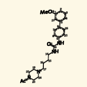 COc1cccc(-c2ccc(NC(=O)NCCCCN3CCN(C(C)=O)CC3)cc2)c1